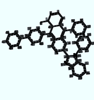 CC1C=CC=C2C(c3ccccc3)=c3cc(-c4nc5ccccc5n4-c4ccccc4)ccc3=C(c3ccc(-c4ccccc4)cc3)C21